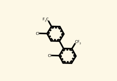 FC(F)(F)c1ccc(-c2c(Cl)[c]ccc2C(F)(F)F)cc1Cl